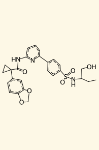 CCC(CO)NS(=O)(=O)c1ccc(-c2cccc(NC(=O)C3(c4ccc5c(c4)OCO5)CC3)n2)cc1